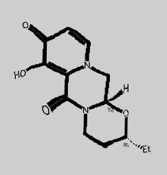 CC[C@@H]1CCN2C(=O)c3c(O)c(=O)ccn3C[C@@H]2O1